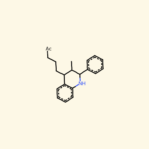 CC(=O)CCCC1c2ccccc2NC(c2ccccc2)C1C